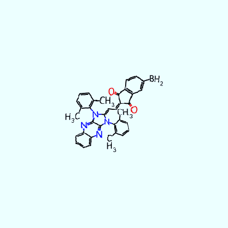 Bc1ccc2c(c1)C(=O)/C(=C/C=C1N(c3c(C)cccc3C)c3nc4ccccc4nc3N1c1c(C)cccc1C)C2=O